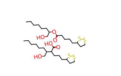 CCCCCCC(CO)C(CCCC1CCSS1)C(=O)O.CCCCCCC(CO)OC(=O)CCCCC1CCSS1